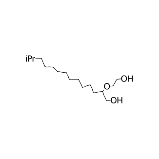 CC(C)CCCCCCCCCCC(CO)OCCO